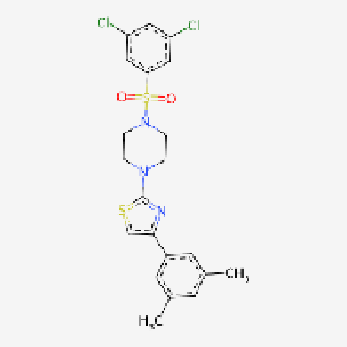 Cc1cc(C)cc(-c2csc(N3CCN(S(=O)(=O)c4cc(Cl)cc(Cl)c4)CC3)n2)c1